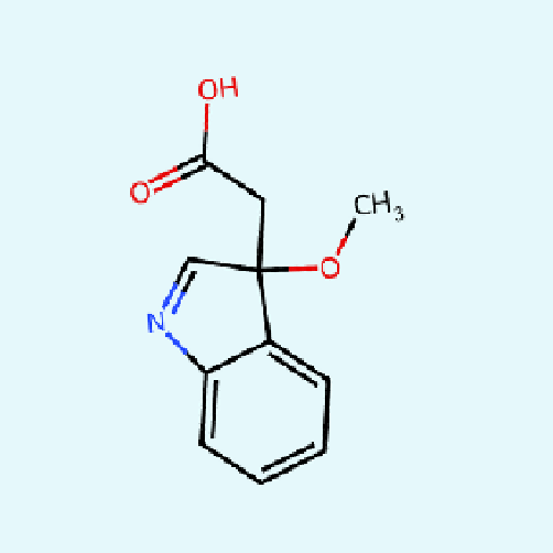 COC1(CC(=O)O)C=Nc2ccccc21